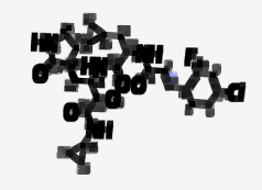 O=C(/C=C/c1ccc(Cl)cc1F)NC(CC1CC1)C(=O)NC(C[C@@H]1CCNC1=O)C(=O)C(=O)NC1CC1